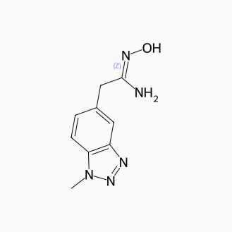 Cn1nnc2cc(C/C(N)=N/O)ccc21